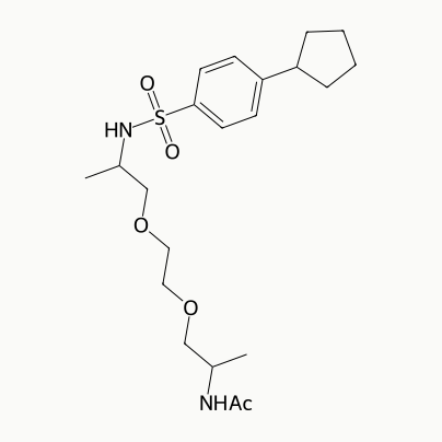 CC(=O)NC(C)COCCOCC(C)NS(=O)(=O)c1ccc(C2CCCC2)cc1